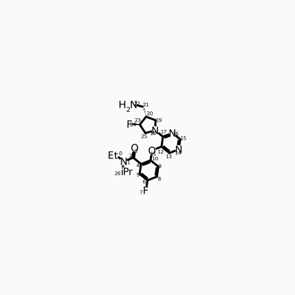 CCN(C(=O)c1cc(F)ccc1Oc1cncnc1N1C[C@@H](CN)[C@H](F)C1)C(C)C